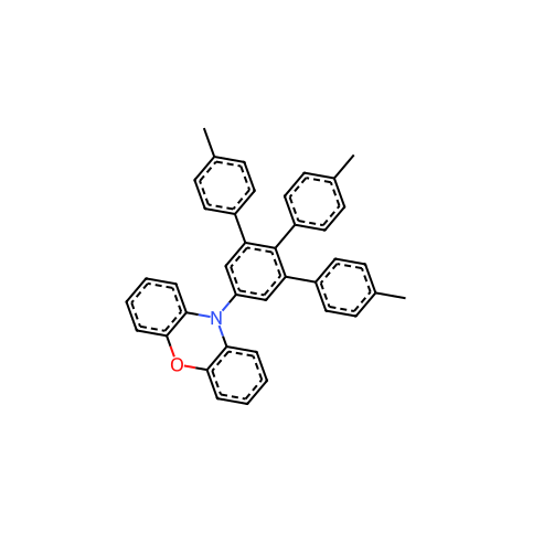 Cc1ccc(-c2cc(N3c4ccccc4Oc4ccccc43)cc(-c3ccc(C)cc3)c2-c2ccc(C)cc2)cc1